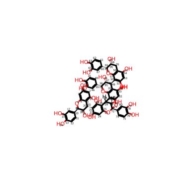 Oc1cc(O)c2c(c1)O[C@H](c1ccc(O)c(O)c1)[C@H](O)[C@H]2c1c(O)cc2c(c1O)[C@@H]1c3c(cc(O)c4c3O[C@H](c3ccc(O)c(O)c3)[C@H](O)[C@H]4c3c(O)cc(O)c4c3O[C@H](c3ccc(O)c(O)c3)[C@H](O)C4)O[C@](c3ccc(O)c(O)c3)(O2)[C@@H]1O